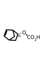 O=C(O)O[C@@H]1CC2C=CC1C2